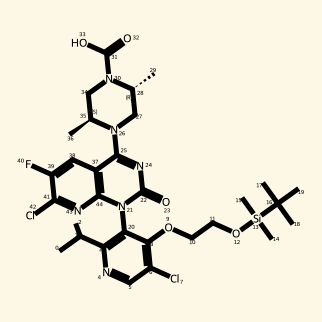 CC(C)c1ncc(Cl)c(OCCO[Si](C)(C)C(C)(C)C)c1-n1c(=O)nc(N2C[C@@H](C)N(C(=O)O)C[C@@H]2C)c2cc(F)c(Cl)nc21